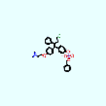 CN(C)CCOc1ccc(/C(=C(/CCCl)c2ccccc2)c2ccc(OP(=O)(O)OCc3ccccc3)cc2)cc1